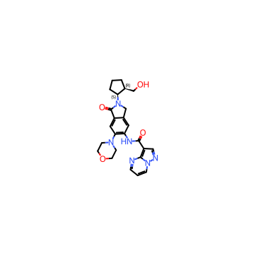 O=C(Nc1cc2c(cc1N1CCOCC1)C(=O)N([C@H]1CCC[C@H]1CO)C2)c1cnn2cccnc12